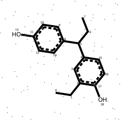 CCc1cc(C(CC)c2ccc(O)cc2)ccc1O